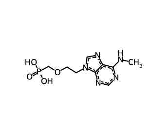 CNc1ncnc2c1ncn2CCOCP(=O)(O)O